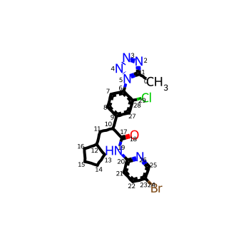 Cc1nnnn1-c1ccc(C(CC2CCCC2)C(=O)Nc2ccc(Br)cn2)cc1Cl